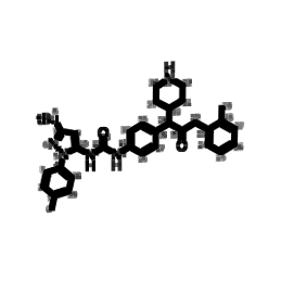 Cc1ccc(-n2nc(C(C)(C)C)cc2NC(=O)Nc2ccc(C(C(=O)Cc3ccccc3C)C3CCNCC3)cc2)cc1